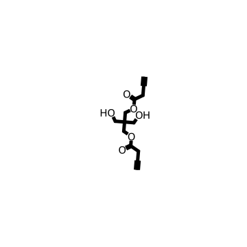 C#CCC(=O)OCC(CO)(CO)COC(=O)CC#C